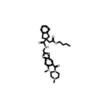 CCCCOC(=O)CC1(C(=O)NCc2nc3cc(C(=O)N4CCN(C)CC4)c(OC)cc3s2)Cc2ccccc2C1